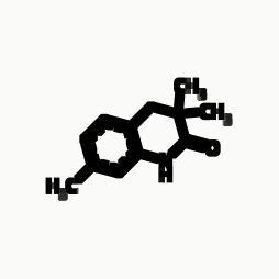 Cc1ccc2c(c1)NC(=O)C(C)(C)C2